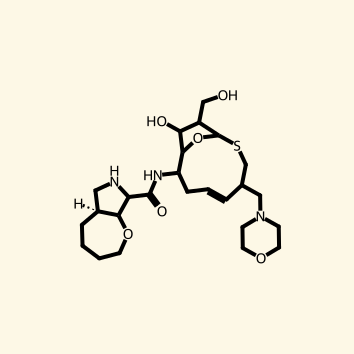 O=C(NC1C/C=C/C(CN2CCOCC2)CSC2OC1C(O)C2CO)C1NC[C@@H]2CCCCOC12